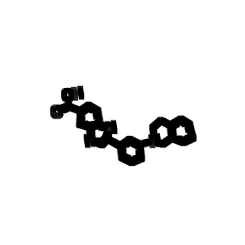 O=C(O)c1ccc2nc(-c3cccc(N4CCc5ccccc5C4)c3)cnc2c1